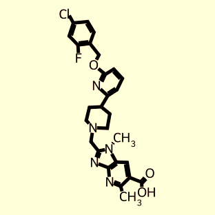 Cc1nc2nc(CN3CCC(c4cccc(OCc5ccc(Cl)cc5F)n4)CC3)n(C)c2cc1C(=O)O